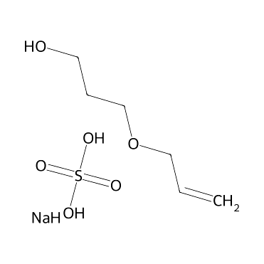 C=CCOCCCO.O=S(=O)(O)O.[NaH]